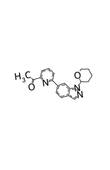 CC(=O)c1cccc(-c2ccc3cnn(C4CCCCO4)c3c2)n1